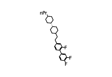 CCC[C@H]1CC[C@H](C2CCC(CCc3ccc(-c4ccc(F)c(F)c4)c(F)c3)CC2)CC1